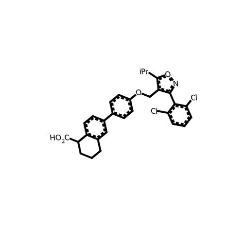 CC(C)c1onc(-c2c(Cl)cccc2Cl)c1COc1ccc(-c2ccc3c(c2)CCCC3C(=O)O)cc1